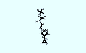 CC(C)(C)OC(=O)NCCn1cc(C2CC2)cn1